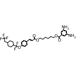 Nc1cc(N)cc(C(=O)OCCCCCCOC(=O)/C=C/c2ccc(OC(F)(F)C3CCC(CC(F)(F)F)CC3)cc2)c1